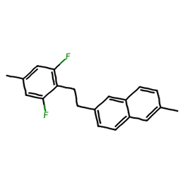 Cc1cc(F)c(CCc2ccc3cc(C)ccc3c2)c(F)c1